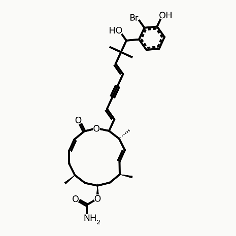 C[C@H]1C/C=C\C(=O)OC(/C=C/C#C/C=C/C(C)(C)C(O)c2cccc(O)c2Br)[C@H](C)/C=C/[C@@H](C)C[C@@H](OC(N)=O)C1